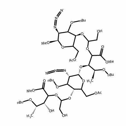 CCCCOC1[C@@H](OC(CO)OC(C(=O)OC)[C@H](O[C@@H]2OC(COC(C)=O)[C@H](OC(CO)OC(C(=O)OC)[C@H](O)[C@H](C)OCCCC)C(OCCCC)[C@@H]2N=[N+]=[N-])[C@H](C)OCCCC)C(COC(C)=O)O[C@@H](OC)[C@H]1N=[N+]=[N-]